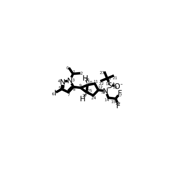 CC(C)n1nc(I)cc1C1[C@H]2CC(N(CC(F)F)[S+]([O-])C(C)(C)C)C[C@@H]12